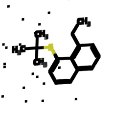 CCc1cccc2cccc(SC(C)(C)C)c12